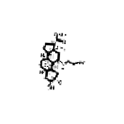 COC(=O)[C@H]1CC[C@H]2[C@@H]3CC[C@H]4C[C@H](O)[C@@H](O)C[C@]4(C)[C@H]3[C@H](NCCC(C)C)C[C@]12C